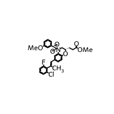 COC(=O)CC[C@H]1CN(S(=O)(=O)c2cccc(OC)c2)c2cc(/C=C(\C)c3c(F)cccc3Cl)ccc2O1